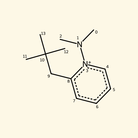 CN(C)[n+]1ccccc1CC(C)(C)C